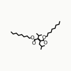 CCCCCCCCOC(=O)C(CC(C)C)=C(C(=O)OCCCCCCCC)C(C)C